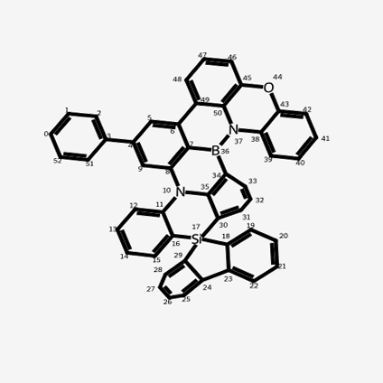 c1ccc(-c2cc3c4c(c2)N2c5ccccc5[Si]5(c6ccccc6-c6ccccc65)c5cccc(c52)B4N2c4ccccc4Oc4cccc-3c42)cc1